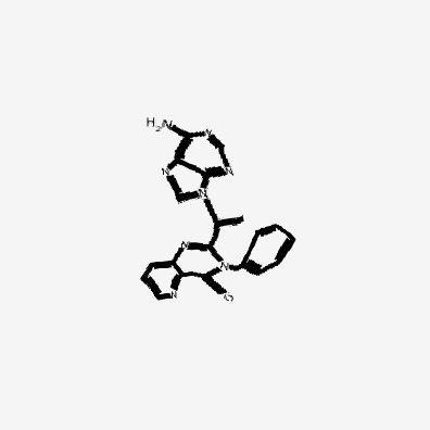 CC(c1nc2cccnc2c(=O)n1-c1ccccc1)n1cnc2c(N)ncnc21